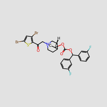 O=C(OC(c1cccc(F)c1)c1cccc(F)c1)O[C@H]1C[N+]2(CC(=O)c3sc(Br)cc3Br)CCC1CC2